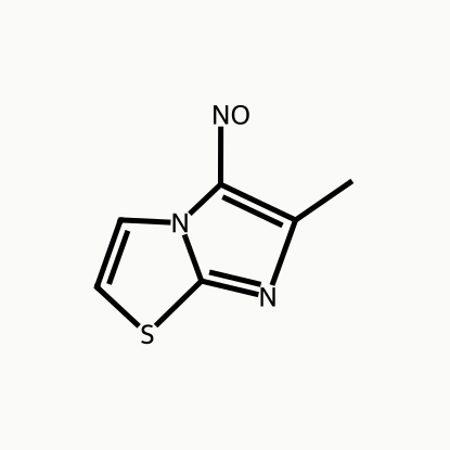 Cc1nc2sccn2c1N=O